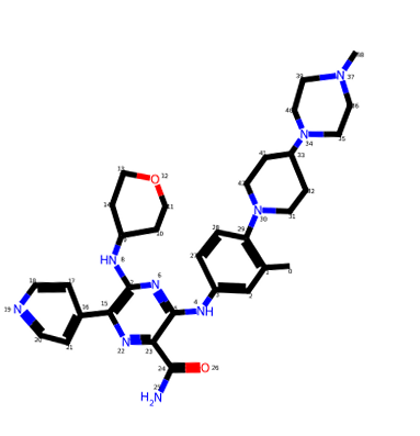 Cc1cc(Nc2nc(NC3CCOCC3)c(-c3ccncc3)nc2C(N)=O)ccc1N1CCC(N2CCN(C)CC2)CC1